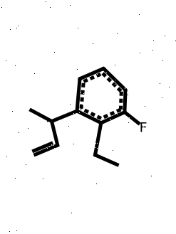 C=C[C](C)c1cccc(F)c1CC